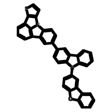 c1ccc2c(c1)oc1ccc(-n3c4ccccc4c4cc(-c5ccc6c(c5)c5cccc7c8sccc8n6c57)ccc43)cc12